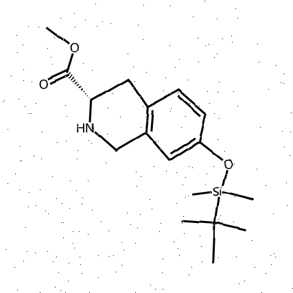 COC(=O)[C@@H]1Cc2ccc(O[Si](C)(C)C(C)(C)C)cc2CN1